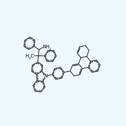 CC(c1ccccc1)(c1ccc2c3ccccc3n(-c3ccc(C4C=C5C(=CC4)c4ccccc4C4CCC=CC54)cc3)c2c1)C(N)c1ccccc1